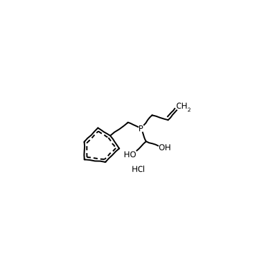 C=CCP(Cc1ccccc1)C(O)O.Cl